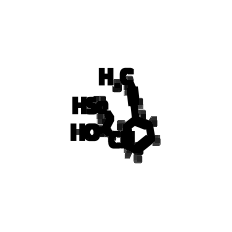 CC#Cc1ccccc1.CC(O)C[SeH]